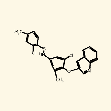 Cc1ccc(SNc2cc(C)c(Oc3cnc4ccccc4c3)c(Cl)c2)c(Cl)c1